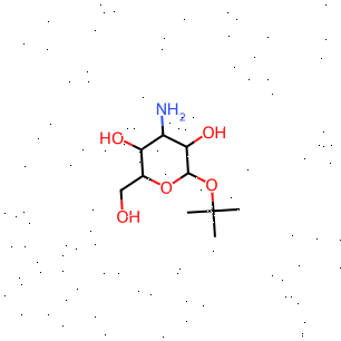 CC(C)(C)OC1OC(CO)C(O)C(N)C1O